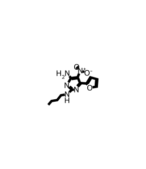 CCCCNc1nc(N)c([N+](=O)[O-])c(-c2ccco2)n1